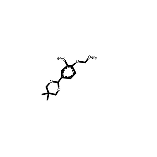 COCOc1ccc(C2OCC(C)(C)CO2)cc1SC